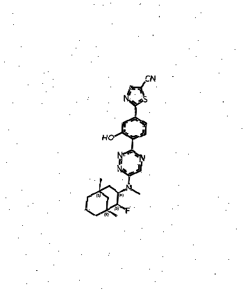 CN(c1cnc(-c2ccc(-c3ncc(C#N)s3)cc2O)nn1)[C@@H]1C[C@@]2(C)CCC[C@](C)(C2)[C@@H]1F